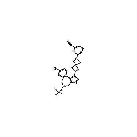 N#Cc1cccc(N2CC3(CC(c4nnc5n4-c4ccc(Cl)cc4CN(C4CC4(F)F)C5)C3)C2)n1